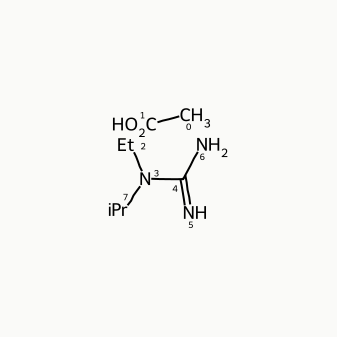 CC(=O)O.CCN(C(=N)N)C(C)C